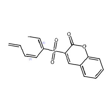 C=C/C=C\C(=C/C)S(=O)(=O)c1cc2ccccc2oc1=O